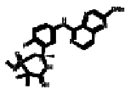 CN=S1(=O)C[C@@](C)(c2cc(Nc3nccc4nc(OC)cnc34)ccc2F)NC(=N)C1(C)C